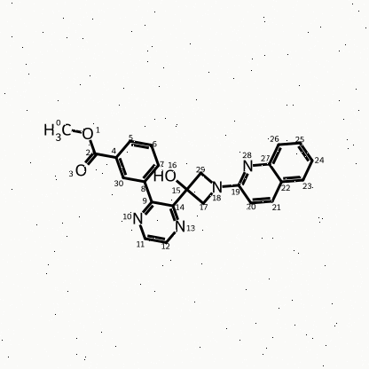 COC(=O)c1cccc(-c2nccnc2C2(O)CN(c3ccc4ccccc4n3)C2)c1